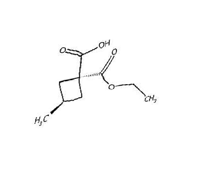 CCOC(=O)[C@]1(C(=O)O)C[C@@H](C)C1